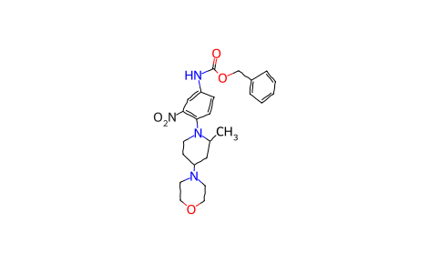 CC1CC(N2CCOCC2)CCN1c1ccc(NC(=O)OCc2ccccc2)cc1[N+](=O)[O-]